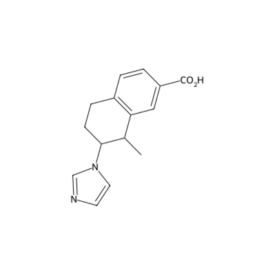 CC1c2cc(C(=O)O)ccc2CCC1n1ccnc1